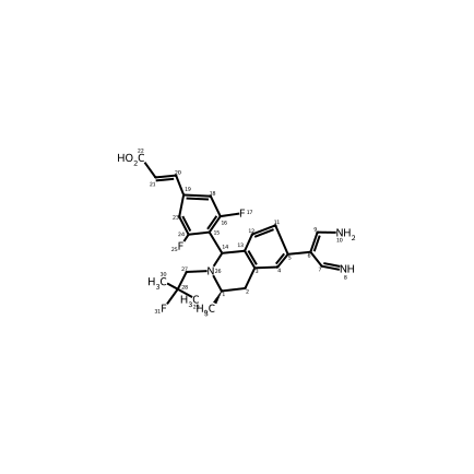 C[C@@H]1Cc2cc(/C(C=N)=C/N)ccc2C(c2c(F)cc(/C=C/C(=O)O)cc2F)N1CC(C)(C)F